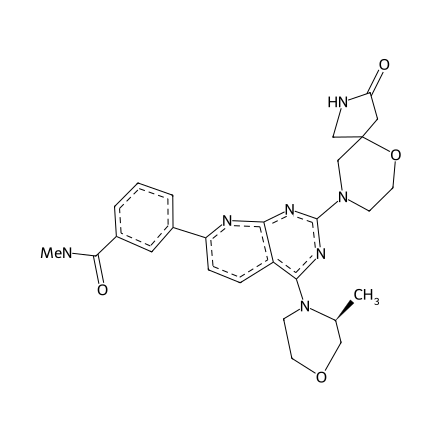 CNC(=O)c1cccc(-c2ccc3c(N4CCOC[C@@H]4C)nc(N4CCOC5(CNC(=O)C5)C4)nc3n2)c1